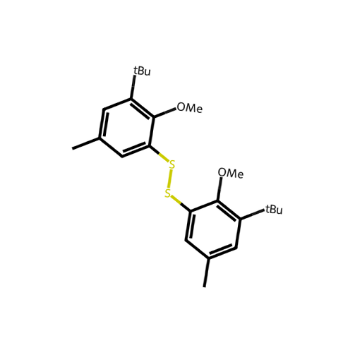 COc1c(SSc2cc(C)cc(C(C)(C)C)c2OC)cc(C)cc1C(C)(C)C